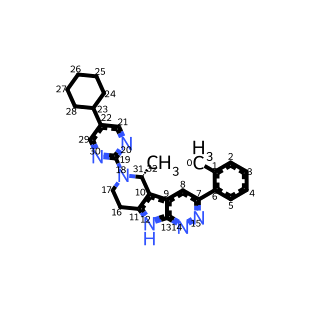 Cc1ccccc1-c1cc2c3c([nH]c2nn1)CCN(c1ncc(C2CCCCC2)cn1)[C@@H]3C